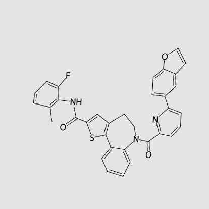 Cc1cccc(F)c1NC(=O)c1cc2c(s1)-c1ccccc1N(C(=O)c1cccc(-c3ccc4occc4c3)n1)CC2